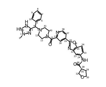 CN1N=C(C(c2ccccc2)N2CCN(C(=O)c3cc(-c4nc5cc(NC(=O)[C@H]6CCOC6)ccc5o4)ccn3)CC2)NN1